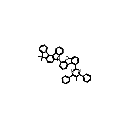 Cc1c(-c2ccccc2)nc(-c2cccc3oc4c(-n5c6ccccc6c6c7c(ccc65)C(C)(C)c5ccccc5-7)cccc4c23)nc1-c1ccccc1